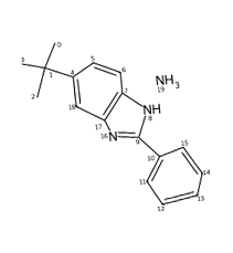 CC(C)(C)c1ccc2[nH]c(-c3ccccc3)nc2c1.N